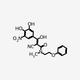 CN(CCOc1ccccc1)C(=O)/C(C#N)=C(\O)c1cc(O)c(O)c([N+](=O)[O-])c1